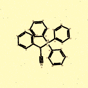 N#CC(c1ccccc1)[PH](c1ccccc1)(c1ccccc1)c1ccccc1